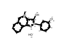 C[n+]1cc2ccccc2c2nn(-c3cccc(C(F)(F)F)c3)c(O)c21.[OH-]